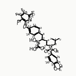 CC(C)CN(CCC(Cc1ccc(Oc2nc(F)c(F)c(F)c2F)cc1)N(O)C(=O)O)S(=O)(=O)c1ccc2c(c1)OCO2